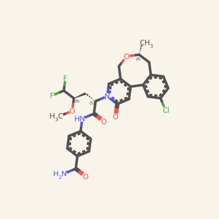 CO[C@H](C[C@@H](C(=O)Nc1ccc(C(N)=O)cc1)n1cc2c(cc1=O)-c1cc(Cl)ccc1C[C@@H](C)OC2)C(F)F